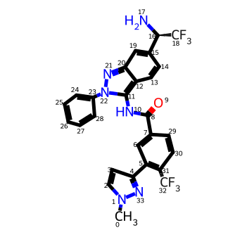 Cn1ccc(-c2cc(C(=O)Nc3c4ccc([C@@H](N)C(F)(F)F)cc4nn3-c3ccccc3)ccc2C(F)(F)F)n1